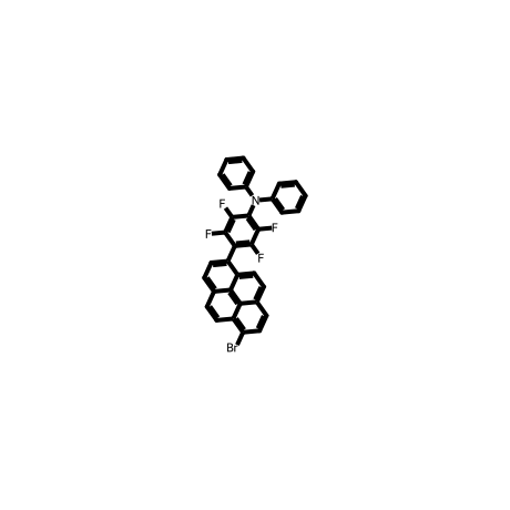 Fc1c(F)c(N(c2ccccc2)c2ccccc2)c(F)c(F)c1-c1ccc2ccc3c(Br)ccc4ccc1c2c43